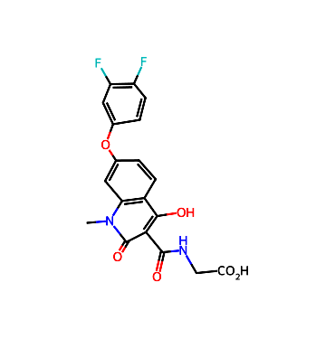 Cn1c(=O)c(C(=O)NCC(=O)O)c(O)c2ccc(Oc3ccc(F)c(F)c3)cc21